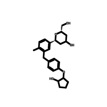 Cc1ccc([C@H]2CC(O)C[C@@H](CO)O2)cc1Cc1ccc(OC2CCCC2O)cc1